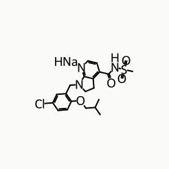 CC(C)COc1ccc(Cl)cc1CN1CCc2c(C(=O)NS(C)(=O)=O)ccnc21.[NaH]